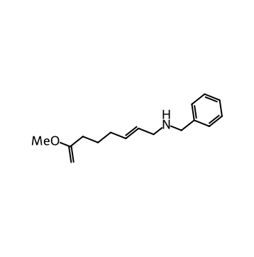 C=C(CCC/C=C/CNCc1ccccc1)OC